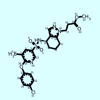 Bc1cc(S(=O)(=O)N[C@@H]2CCCc3c2cnn3CCC(=O)OC)cnc1Oc1ccc(Cl)cc1